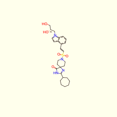 O=C1NC(C2CCCCCC2)=NC12CCN(S(=O)(=O)C=Cc1cccc3c1ccn3C[C@H](O)CO)CC2